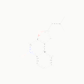 CC(C)Cc1cc2c(c[n+]([O-])c3ccccc23)o1